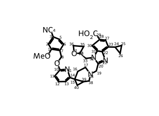 COc1cc(C#N)ccc1COc1cccc(C23CCN(Cc4nc5c(C6CC6)cc(C(=O)O)cc5n4C[C@@H]4CCO4)CC2C3)n1